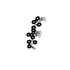 CC(C)Sc1cccc2c1oc1c(N(c3ccccc3)c3ccc4c5c(c6ccccc6c4c3)-c3cc4ccc(N(c6ccccc6)c6cccc7c6oc6c([Si](C)(C)C)cccc67)cc4cc3C5([Si](C)(C)C)[Si](C)(C)C)cccc12